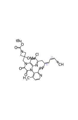 C#C/C=C\C=C(\F)Cc1nc2c(cc1Cl)n(CC1(OC)CN(C(=O)OC(C)(C)C)C1)c(=O)c(=O)n2-c1c(C)ccnc1C(C)C